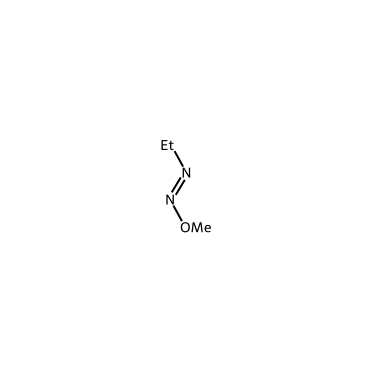 CCN=NOC